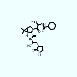 CC(C)(C)C(NC(=O)C1CCCCC1)C(=O)N1CC2[C@@H]([C@H]1C(=O)N[C@H](C#N)C[C@@H]1CCNC1=O)C2(C)C